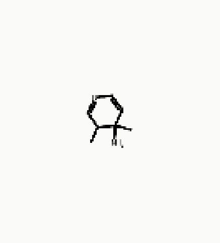 CC1C=NC=CC1(C)N